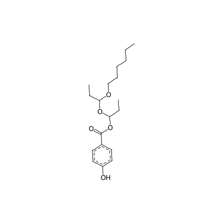 CCCCCCOC(CC)OC(CC)OC(=O)c1ccc(O)cc1